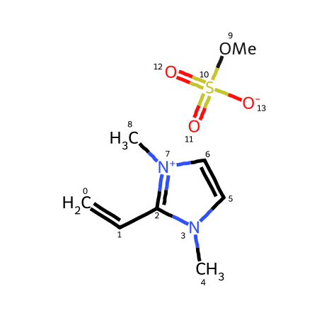 C=Cc1n(C)cc[n+]1C.COS(=O)(=O)[O-]